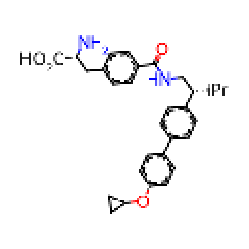 CC(C)[C@@H](CNC(=O)c1ccc(C[C@H](N)C(=O)O)cc1)c1ccc(-c2ccc(OC3CC3)cc2)cc1